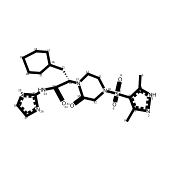 Cc1n[nH]c(C)c1S(=O)(=O)N1CCN([C@@H](CC2CCCCC2)C(=O)Nc2nccs2)C(=O)C1